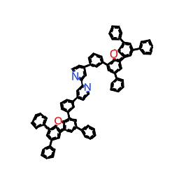 c1ccc(-c2cc(-c3ccccc3)c3oc4c(-c5cccc(-c6ccnc(-c7cc(-c8cccc(-c9cc(-c%10ccccc%10)cc%10c9oc9c(-c%11ccccc%11)cc(-c%11ccccc%11)cc9%10)c8)ccn7)c6)c5)cc(-c5ccccc5)cc4c3c2)cc1